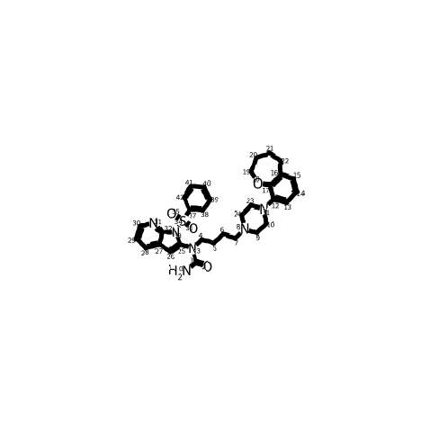 NC(=O)N(CCCCN1CCN(c2cccc3c2OCCCC3)CC1)c1cc2cccnc2n1S(=O)(=O)c1ccccc1